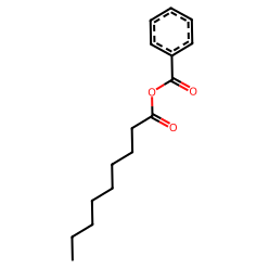 CCCCCCCCC(=O)OC(=O)c1ccccc1